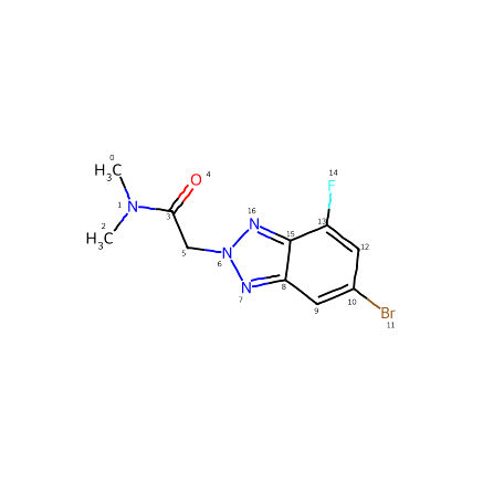 CN(C)C(=O)Cn1nc2cc(Br)cc(F)c2n1